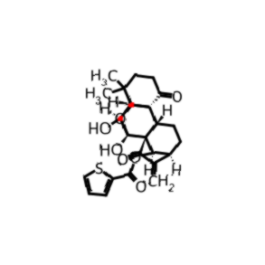 C=C1C(=O)[C@]23[C@H](OC(=O)c4cccs4)[C@H]1CC[C@H]2[C@@]12CO[C@]3(O)[C@@H](O)[C@@H]1C(C)(C)CCC2=O